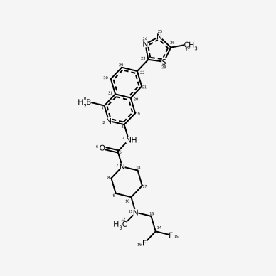 Bc1nc(NC(=O)N2CCC(N(C)CC(F)F)CC2)cc2cc(-c3nnc(C)s3)ccc12